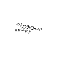 Nc1cc(S(=O)(=O)O)c2c(c1)c(S(=O)(=O)O)cc1nn(-c3ccc(S(=O)(=O)O)cc3)nc12